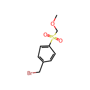 COCS(=O)(=O)c1ccc(CBr)cc1